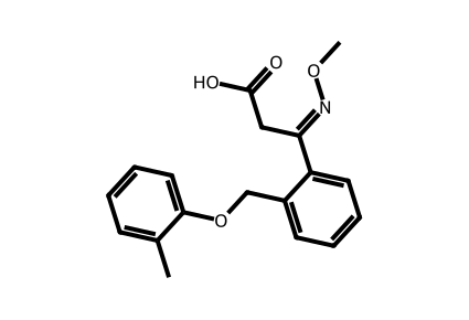 CO/N=C(\CC(=O)O)c1ccccc1COc1ccccc1C